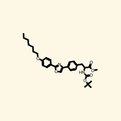 CCCCCCCOc1ccc(-c2nc(-c3ccc(CC(NC(=O)OC(C)(C)C)C(=O)OC)cc3)co2)cc1